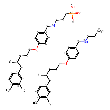 CCC(CCCOc1ccc(CNCCC(=O)O)cc1)Cc1ccc(C)c(C)c1.CCCC(CCCOc1ccc(CNCCCP(=O)(O)O)cc1)Cc1ccc(C)c(C)c1